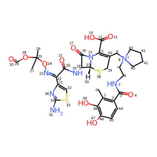 Cc1c(C(=O)NCC[N+]2(CC3=C(C(=O)O)N4C(=O)[C@@H](NC(=O)/C(=N\OC(C)(C)OC=O)c5csc(N)n5)[C@H]4SC3)CCCC2)ccc(O)c1O